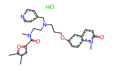 Cc1cc(C(=O)N(C)CCN(CCCOc2ccc3c(ccc(=O)n3C)c2)Cc2ccncc2)oc1C.Cl